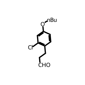 CCCCOc1ccc(CCC=O)c(Cl)c1